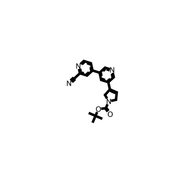 CC(C)(C)OC(=O)N1CC=C(c2cncc(-c3ccnc(C#N)c3)c2)C1